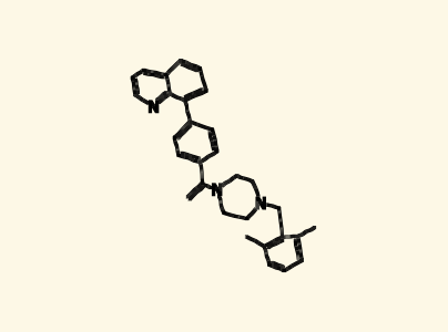 C=C(c1ccc(-c2cccc3cccnc23)cc1)N1CCN(Cc2c(C)cccc2C)CC1